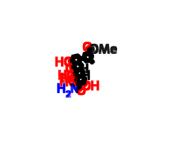 COC(=O)C1CC(C)CC(C2CCC(O)C3C(=O)C4=C(O)[C@]5(O)C(O)C(C(N)=O)=C(O)C[C@@H]5C[C@@H]4CC23)C1